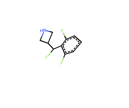 Fc1cccc(F)c1C(F)C1CNC1